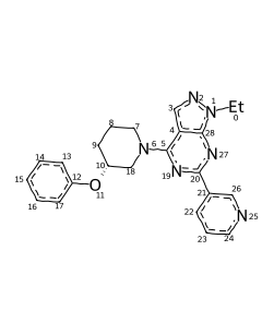 CCn1ncc2c(N3CCC[C@@H](Oc4ccccc4)C3)nc(-c3cccnc3)nc21